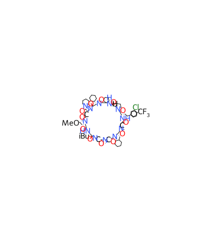 CC[C@H](C)[C@@H]1NC(=O)[C@H](CCOC)N(C)C(=O)C[C@@H](C(=O)N2CCCCC2)N(C)C(=O)[C@H](C2CCCCC2)N(C)C(=O)C2(CCCC2)NC(=O)[C@@H]2CCCN2C(=O)[C@H](CCc2ccc(C(F)(F)F)c(Cl)c2)NC(=O)CN(C)C(=O)[C@H](CC2CCCCC2)N(C)C(=O)CN(C)C(=O)CN(C)C1=O